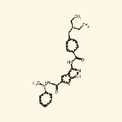 CCN(CC)Cc1ccc(C(=O)Nc2n[nH]c3sc(C(=O)NN(C)c4ccccc4)cc23)cc1